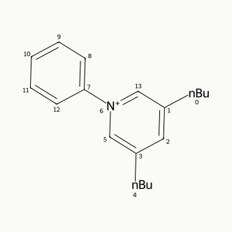 CCCCc1cc(CCCC)c[n+](-c2ccccc2)c1